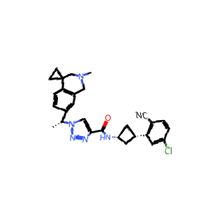 C[C@H](c1ccc2c(c1)CN(C)CC21CC1)n1cc(C(=O)N[C@H]2C[C@@H](c3cc(Cl)ccc3C#N)C2)nn1